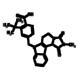 CN1C(=O)C2c3c(n(Cc4ccc(C(=O)O)c(C(C)(C)C)c4)c4ccccc34)CCN2C1=O